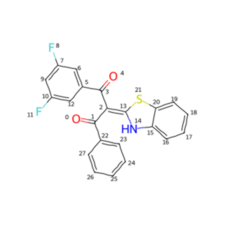 O=C(/C(C(=O)c1cc(F)cc(F)c1)=C1\Nc2ccccc2S1)c1ccccc1